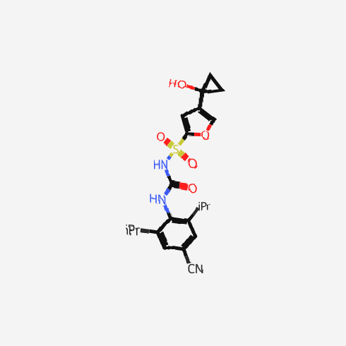 CC(C)c1cc(C#N)cc(C(C)C)c1NC(=O)NS(=O)(=O)c1cc(C2(O)CC2)co1